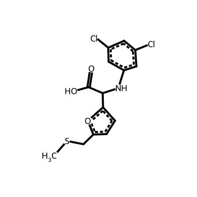 CSCc1ccc(C(Nc2cc(Cl)cc(Cl)c2)C(=O)O)o1